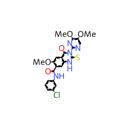 COc1cc2c(=O)n(-c3ncc(OC)c(OC)n3)c(=S)[nH]c2cc1C(=O)Nc1cccc(Cl)c1